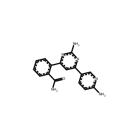 NC(=O)c1ccccc1-c1cc(-c2ccc(N)nc2)nc(N)n1